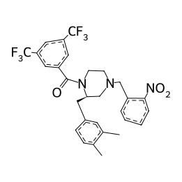 Cc1ccc(C[C@@H]2CN(Cc3ccccc3[N+](=O)[O-])CCN2C(=O)c2cc(C(F)(F)F)cc(C(F)(F)F)c2)cc1C